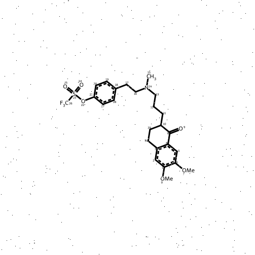 COc1cc2c(cc1OC)C(=O)C(CCCN(C)CCc1ccc(OS(=O)(=O)C(F)(F)F)cc1)CC2